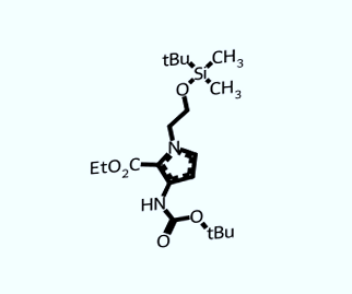 CCOC(=O)c1c(NC(=O)OC(C)(C)C)ccn1CCO[Si](C)(C)C(C)(C)C